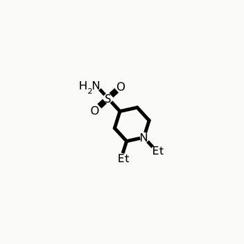 CCC1CC(S(N)(=O)=O)CCN1CC